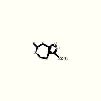 CCOC(=O)c1n[nH]c2c1CCOC(C)C2